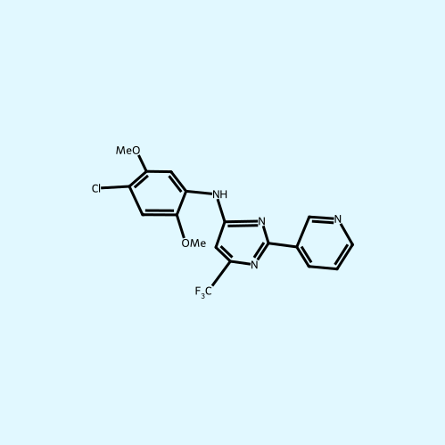 COc1cc(Nc2cc(C(F)(F)F)nc(-c3cccnc3)n2)c(OC)cc1Cl